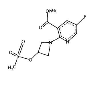 COC(=O)c1cc(F)cnc1N1CC(OS(C)(=O)=O)C1